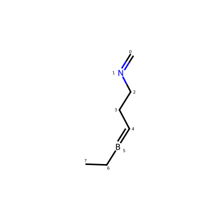 C=NCC/C=B/CC